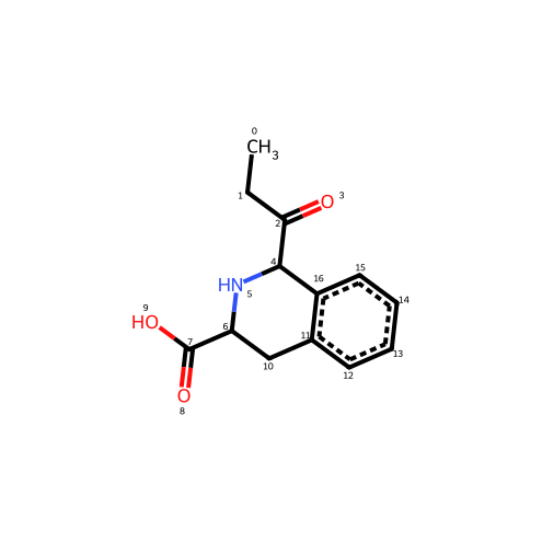 CCC(=O)C1NC(C(=O)O)Cc2ccccc21